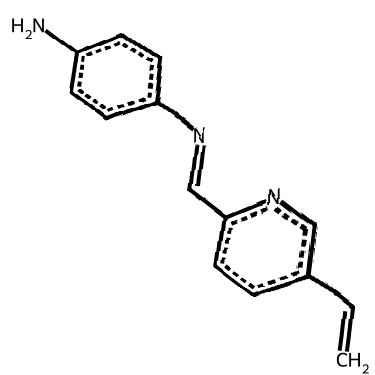 C=Cc1ccc(C=Nc2ccc(N)cc2)nc1